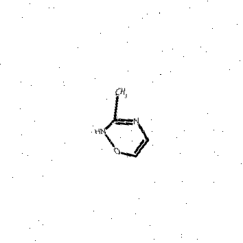 CC1=NC=CON1